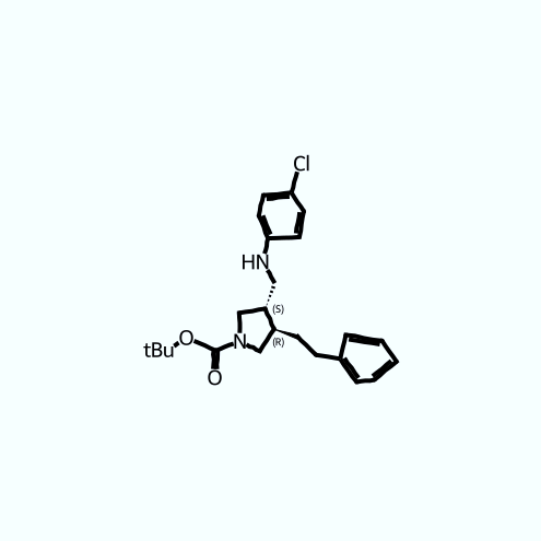 CC(C)(C)OC(=O)N1C[C@H](CCc2ccccc2)[C@@H](CNc2ccc(Cl)cc2)C1